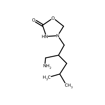 CC(C)CC(CN)CN1COC(=O)N1